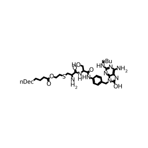 CCCCCCCCCCCCCC(=O)OCCSCC(N)C(=O)NC(CO)C(=O)Nc1ccc(Cn2c(O)nc3c(N)nc(NCCCC)nc32)cc1